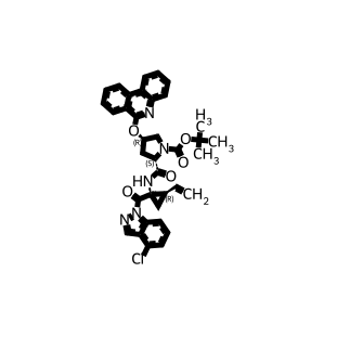 C=C[C@H]1C[C@@]1(NC(=O)[C@@H]1C[C@@H](Oc2nc3ccccc3c3ccccc23)CN1C(=O)OC(C)(C)C)C(=O)n1ncc2c(Cl)cccc21